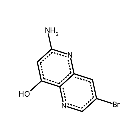 Nc1cc(O)c2ncc(Br)cc2n1